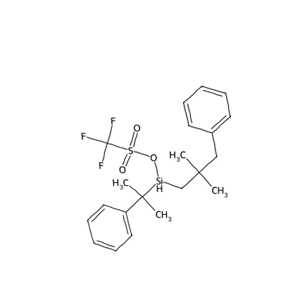 CC(C)(Cc1ccccc1)C[SiH](OS(=O)(=O)C(F)(F)F)C(C)(C)c1ccccc1